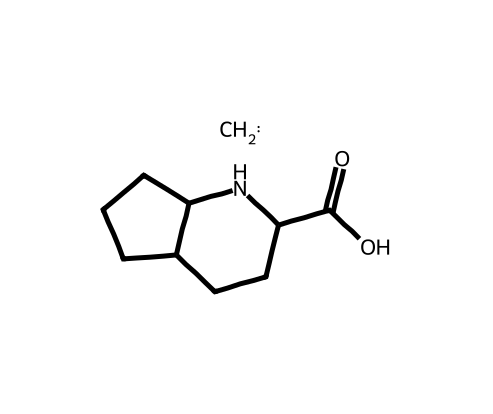 O=C(O)C1CCC2CCCC2N1.[CH2]